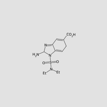 CCN(CC)S(=O)(=O)N1C2=CCC(C(=O)O)=CC2=NC1N